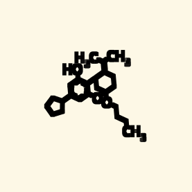 CCCCOC12CCC(=C(C)C)C(C1)c1c(O)cc(C3CCCC3)cc1O2